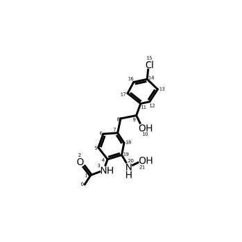 CC(=O)Nc1ccc(CC(O)c2ccc(Cl)cc2)cc1NO